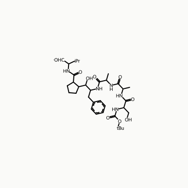 CC(NC(=O)C(C)NC(=O)C(CO)NC(=O)OC(C)(C)C)C(=O)NC(Cc1ccccc1)C(O)C1CCCC1C(=O)NC([C]=O)C(C)C